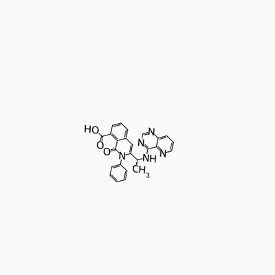 C[C@H](Nc1ncnc2cccnc12)c1cc2cccc(C(=O)O)c2c(=O)n1-c1ccccc1